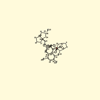 CC(C)(C)OC(=O)N1C2CCC1CN(c1nc(OC[C@@]34CCCN3C[C@H](F)C4)nc3c(F)cc(F)c(F)c13)C2